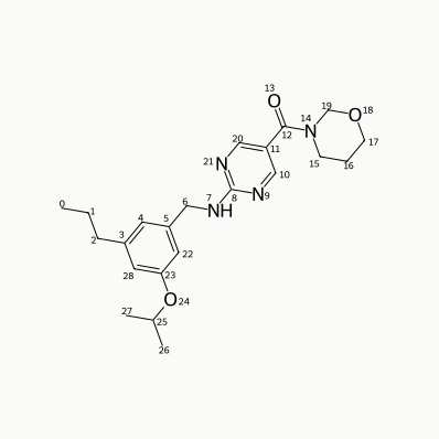 CCCc1cc(CNc2ncc(C(=O)N3CCCOC3)cn2)cc(OC(C)C)c1